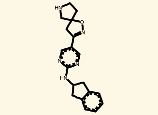 c1ccc2c(c1)CC(Nc1ncc(C3=NOC4(CCNC4)C3)cn1)C2